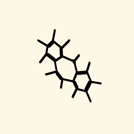 CC1=C(C)c2c(C)c(C)c(C)c(C)c2N(C)c2c(C)c(C)c(C)c(C)c21